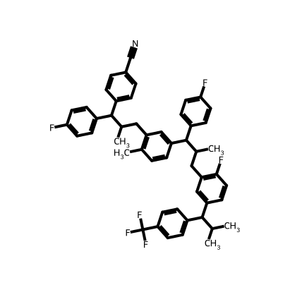 Cc1ccc(C(c2ccc(F)cc2)C(C)Cc2cc(C(c3ccc(C(F)(F)F)cc3)C(C)C)ccc2F)cc1CC(C)C(c1ccc(F)cc1)c1ccc(C#N)cc1